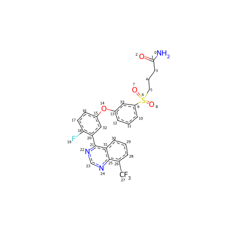 NC(=O)CCCS(=O)(=O)c1cccc(Oc2ccc(F)c(-c3ncnc4c(C(F)(F)F)cccc34)c2)c1